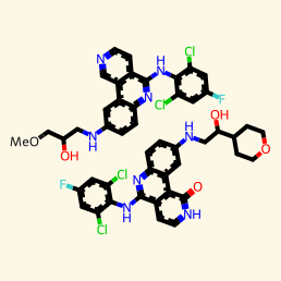 COCC(O)CNc1ccc2nc(Nc3c(Cl)cc(F)cc3Cl)c3ccncc3c2c1.O=c1[nH]ccc2c(Nc3c(Cl)cc(F)cc3Cl)nc3ccc(NCC(O)C4CCOCC4)cc3c12